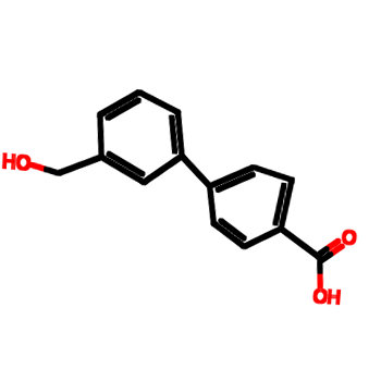 O=C(O)c1ccc(-c2cccc(CO)c2)cc1